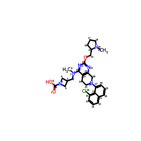 CN(CC1CN(C(=O)O)C1)c1nc(OCC2CCCN2C)nc2c1CCN(c1cccc3cccc(Cl)c13)C2